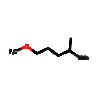 CSC(C)CCCOC(F)(F)F